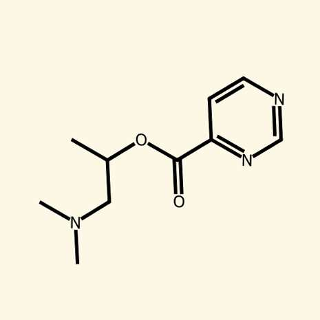 CC(CN(C)C)OC(=O)c1ccncn1